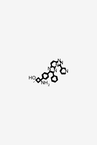 C[C@]1(O)C[C@](N)(c2ccc(-c3nc4ccc5nnc(-c6cccnc6)n5c4nc3-c3ccccc3)cc2)C1